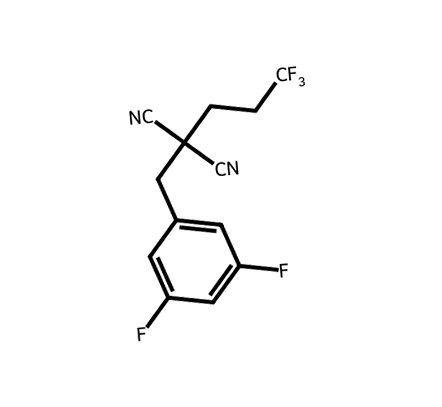 N#CC(C#N)(CCC(F)(F)F)Cc1cc(F)cc(F)c1